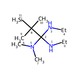 CCNC(NCC)(N(C)C)C(C)(C)[SiH3]